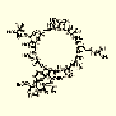 CC[C@H](C)[C@@H]1NC(=O)[C@@H](CCCNC(=N)N)NC(=O)[C@H](CC(C)C)NC(=O)[C@H]([C@H](O)C(C)C)NC(=O)[C@@H](NC(=O)[C@H](CC(C)C)NC(=O)[C@@H](CC(C)C)NC(=O)OC(C)(C)C)[C@@H](c2ccccc2)OC(=O)[C@H](CO)NC(=O)[C@H]([C@H](O)C(N)=O)NC(=O)CNC(=O)[C@H]([C@H](C)O)NC1=O.O=C(O)C(F)(F)F